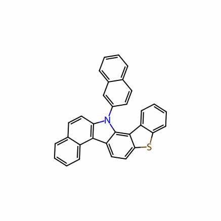 c1ccc2cc(-n3c4ccc5ccccc5c4c4ccc5sc6ccccc6c5c43)ccc2c1